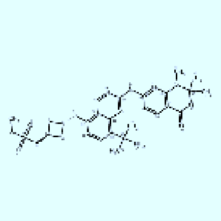 CCS(=O)(=O)C[C@H]1C[C@H](Oc2ncc(C(C)(C)N)c3cc(Nc4ccc5c(n4)[C@@H](C)C(C)(C)OC5=O)ncc23)C1